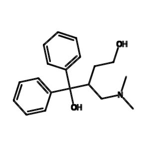 CN(C)CC(CCO)C(O)(c1ccccc1)c1ccccc1